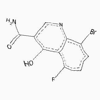 NC(=O)c1cnc2c(Br)ccc(F)c2c1O